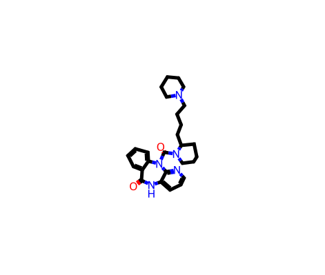 O=C1Nc2cccnc2N(C(=O)N2CCCCC2CCCCN2CCCCC2)c2ccccc21